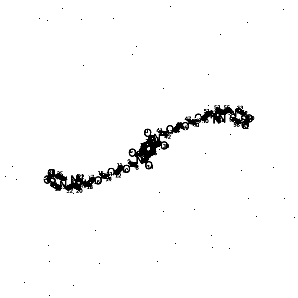 O=c1c2cc3c(=O)n(CCOCCOCCOCCn4cc(CN5CCS(=O)(=O)CC5)nn4)c(=O)c3cc2c(=O)n1CCOCCOCCOCCn1cc(CN2CCS(=O)(=O)CC2)nn1